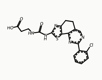 O=C(O)CCNC(=O)Nc1nc2c(s1)-c1nc(-c3ccccc3Cl)ncc1CC2